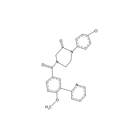 COc1ccc(C(=O)N2CCN(c3ccc(Cl)cc3)C(=O)C2)cc1-c1ccccn1